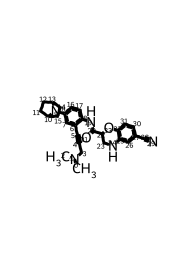 CN(C)CC#Cc1cc(N2C3CCC2CC3)ccc1NC(=O)C1CNc2cc(C#N)ccc2O1